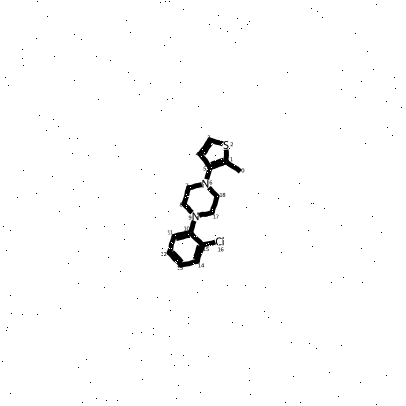 Cc1sccc1N1CCN(c2ccccc2Cl)CC1